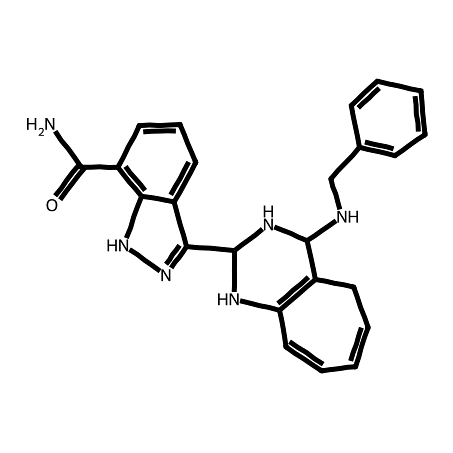 NC(=O)c1cccc2c(C3NC4=C(CC=CC=C4)C(NCc4ccccc4)N3)n[nH]c12